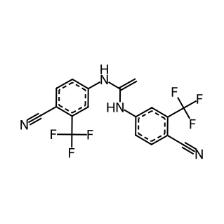 C=C(Nc1ccc(C#N)c(C(F)(F)F)c1)Nc1ccc(C#N)c(C(F)(F)F)c1